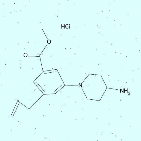 C=CCc1cc(C(=O)OC)cc(N2CCC(N)CC2)c1.Cl